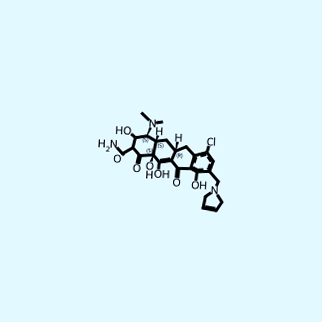 CN(C)[C@@H]1C(O)C(C(N)=O)C(=O)[C@@]2(O)C(O)=C3C(=O)c4c(O)c(CN5CC=CC5)cc(Cl)c4C[C@H]3C[C@@H]12